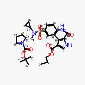 CCCOC(=O)c1c[nH]c2c(=O)[nH]c3ccc(S(=O)(=O)N(C[C@H]4CCCN4C(=O)OC(C)(C)C)C4CC4)cc3c12